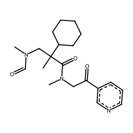 CN(C=O)CC(C)(C(=O)N(C)CC(=O)c1cccnc1)C1CCCCC1